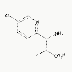 CC(C(=O)O)C(N)c1ccc(Cl)cn1